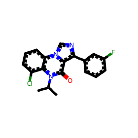 CC(C)n1c(=O)c2c(-c3cccc(F)c3)ncn2c2cccc(Cl)c21